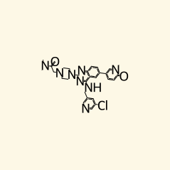 CN(C)C(=O)CN1CCN(c2nc(NCc3cncc(Cl)c3)c3cc(-c4ccc(=O)n(C)c4)ccc3n2)CC1